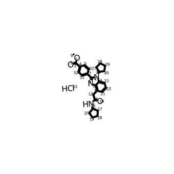 COC(=O)c1ccc(-c2nc3c(CC(=O)NC4CCCC4)cccc3n2C2CCCC2)cc1.Cl